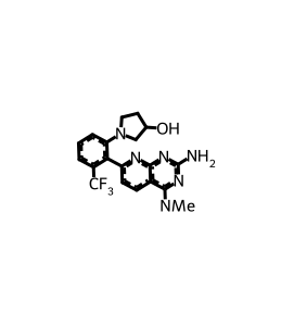 CNc1nc(N)nc2nc(-c3c(N4CCC(O)C4)cccc3C(F)(F)F)ccc12